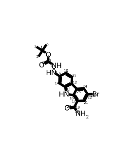 CC(C)(C)OC(=O)NNc1ccc2c(c1)[nH]c1c(C(N)=O)cc(Br)cc12